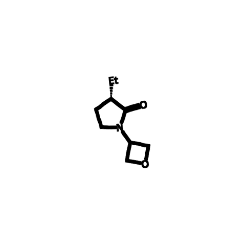 CC[C@H]1CCN(C2COC2)C1=O